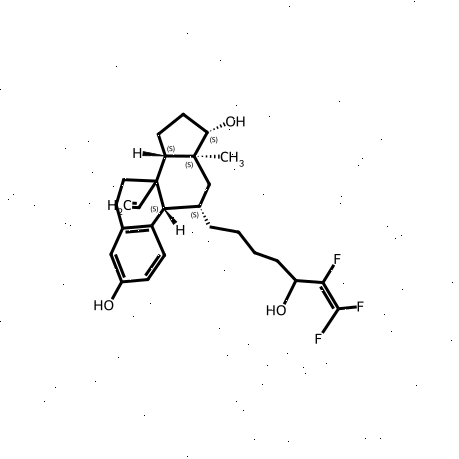 C=CC12CCc3cc(O)ccc3[C@H]1[C@@H](CCCCC(O)C(F)=C(F)F)C[C@]1(C)[C@@H](O)CC[C@@H]21